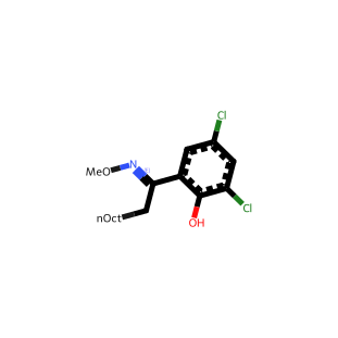 CCCCCCCCC/C(=N\OC)c1cc(Cl)cc(Cl)c1O